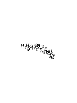 NC(=O)OCc1cc(-c2ccc(NCc3ccoc3)cc2)no1